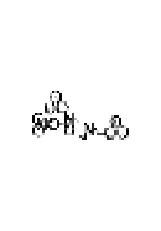 COc1ccc(CCN(CCCN(C(=O)c2ccc([N+](=O)[O-])cc2)c2ccc(OC)c(OC)c2)C2CC2)cc1OC